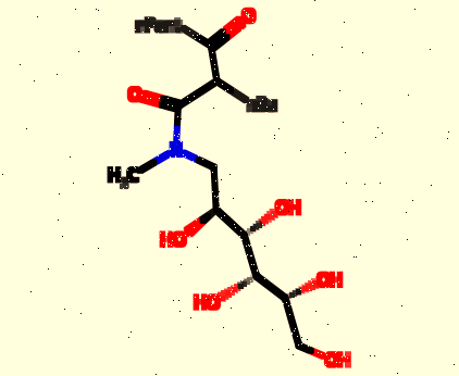 CCCCCC(=O)C(CCCC)C(=O)N(C)C[C@H](O)[C@H](O)[C@@H](O)[C@H](O)CO